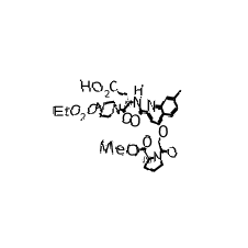 CCOC(=O)N1CCN(C(=O)[C@H](CCC(=O)O)NC(=O)c2cc(OCC(=O)N3CCC[C@H]3C(=O)OC)c3ccc(C)cc3n2)CC1